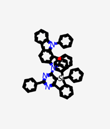 c1ccc(-c2nc3c(c(-n4c5ccccc5c5c4ccc4c6ccccc6n(-c6ccccc6)c45)n2)[Si](c2ccccc2)(c2ccccc2)c2ccccc2-3)cc1